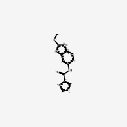 CNc1nc2cc(NC(=O)c3cscn3)ccc2[nH]1